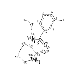 COc1ccc(C)cc1C(=O)NC1CCCNC1=O